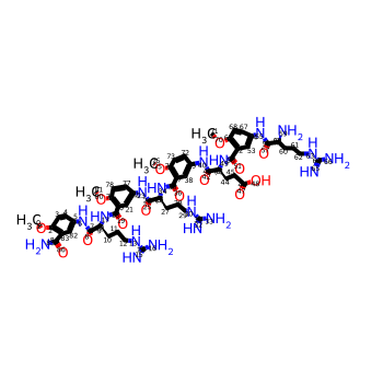 COc1ccc(NC(=O)[C@H](CCCNC(=N)N)NC(=O)c2cc(NC(=O)[C@H](CCCNC(=N)N)NC(=O)c3cc(NC(=O)[C@H](CCC(=O)O)NC(=O)c4cc(NC(=O)[C@@H](N)CCCNC(=N)N)ccc4OC)ccc3OC)ccc2OC)cc1C(N)=O